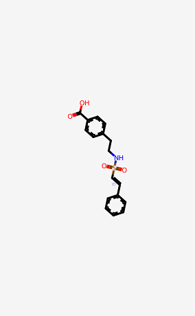 O=C(O)c1ccc(CCNS(=O)(=O)/C=C/c2ccccc2)cc1